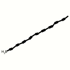 BC#CC#CC#CC#CC#CC#CC#CC#CC#CC